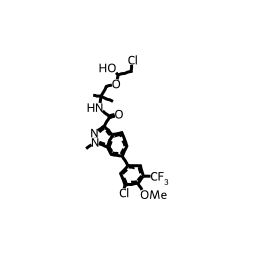 COc1c(Cl)cc(-c2ccc3c(C(=O)NC(C)(C)COC(O)CCl)nn(C)c3c2)cc1C(F)(F)F